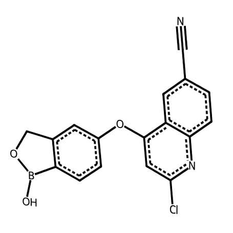 N#Cc1ccc2nc(Cl)cc(Oc3ccc4c(c3)COB4O)c2c1